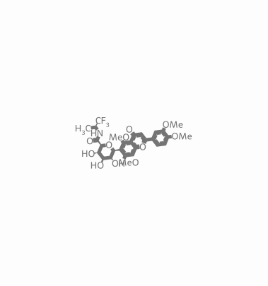 COc1ccc(-c2cc(=O)c3c(OC)c([C@@H]4O[C@H](C(=O)N[C@H](C)C(F)(F)F)[C@@H](O)[C@H](O)[C@H]4O)c(OC)cc3o2)cc1OC